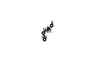 O=C(Nc1cnn(Cc2ccc(F)cc2)c1)c1cccc(COc2ccccc2F)c1